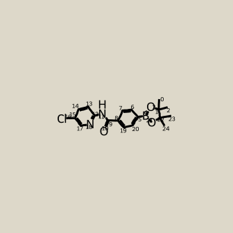 CC1(C)OB(c2ccc(C(=O)Nc3ccc(Cl)cn3)cc2)OC1(C)C